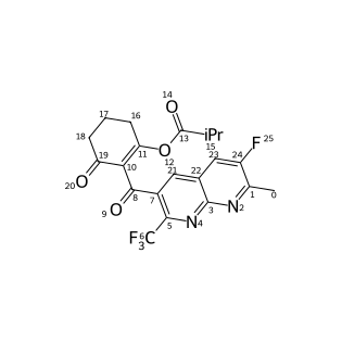 Cc1nc2nc(C(F)(F)F)c(C(=O)C3=C(OC(=O)C(C)C)CCCC3=O)cc2cc1F